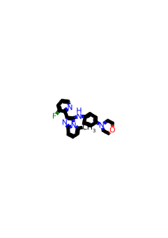 Cc1cccc2nc(-c3ncccc3F)c(Nc3ccc(N4CCOCC4)cc3)n12